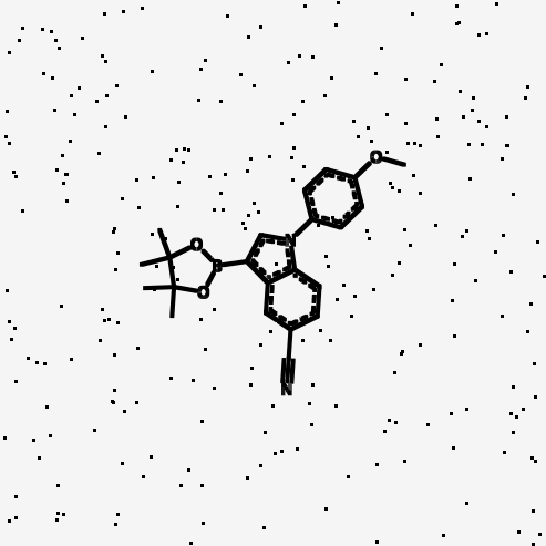 COc1ccc(-n2cc(B3OC(C)(C)C(C)(C)O3)c3cc(C#N)ccc32)cc1